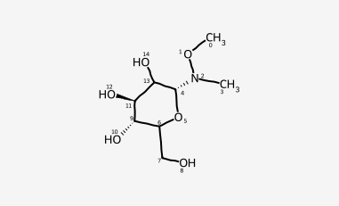 CON(C)[C@@H]1OC(CO)[C@H](O)[C@@H](O)C1O